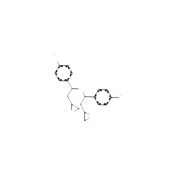 Fc1ccc(C(CC2CO2)OC(CC2CO2)c2ccc(F)cc2)cc1